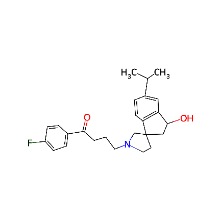 CC(C)c1ccc2c(c1)C(O)CC21CCN(CCCC(=O)c2ccc(F)cc2)C1